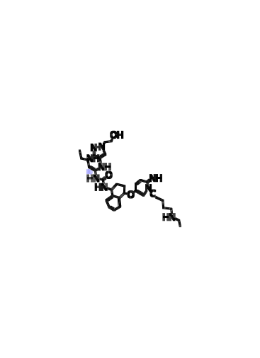 CCNCCCCCn1cc(OC2CCC(NC(=O)N/C(=C/C(=N)CC)Nc3cnn(CCO)c3)c3ccccc32)ccc1=N